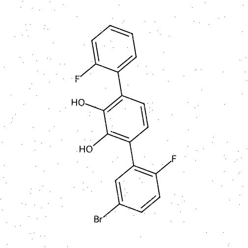 Oc1c(-c2ccccc2F)ccc(-c2cc(Br)ccc2F)c1O